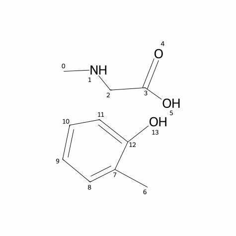 CNCC(=O)O.Cc1ccccc1O